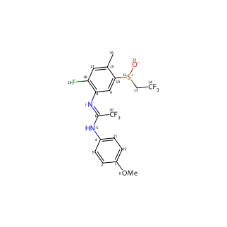 COc1ccc(N/C(=N/c2cc([S+]([O-])CC(F)(F)F)c(C)cc2F)C(F)(F)F)cc1